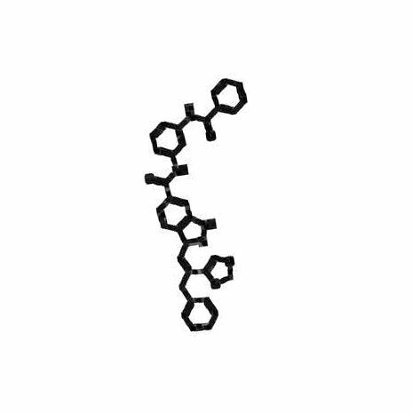 O=C(Nc1cccc(NC(=O)c2ccc3c(C=C(Cc4ccccc4)C4=COCO4)n[nH]c3c2)c1)c1ccccc1